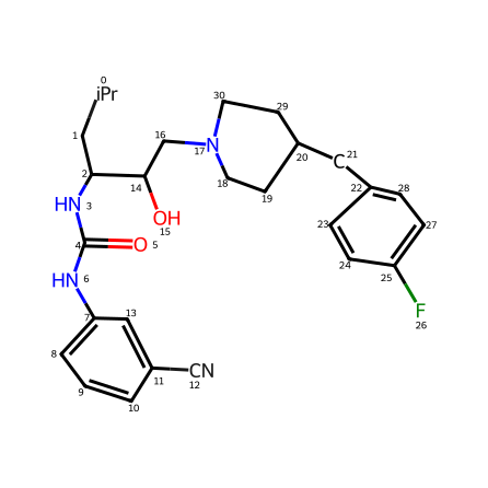 CC(C)CC(NC(=O)Nc1cccc(C#N)c1)C(O)CN1CCC(Cc2ccc(F)cc2)CC1